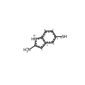 Nc1cc2cc(S)ccc2[nH]1